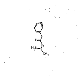 CC(N)[N]C(=O)Cc1ccccc1